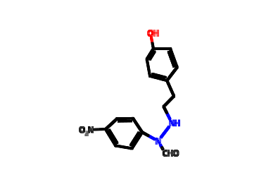 O=CN(NCCc1ccc(O)cc1)c1ccc([N+](=O)[O-])cc1